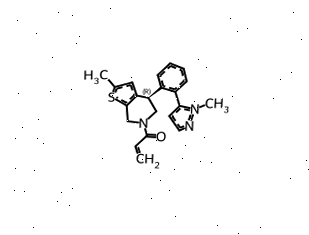 C=CC(=O)N1Cc2sc(C)cc2[C@@H](c2ccccc2-c2ccnn2C)C1